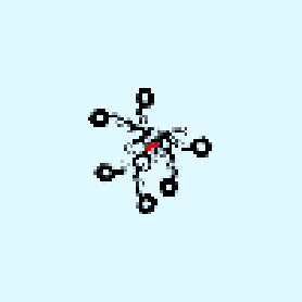 CC(=O)OC1C(OC(C)=O)[C@@H](OCc2ccccc2)C(COCc2ccccc2)O[C@@H]1OC1C(OC(C)=O)[C@@H](OCc2ccccc2)C(COCc2ccccc2)O[C@@H]1O[C@@H]1C(O[Si](C)(C)C(C)(C)C)[C@@H](C)OC(COCc2ccccc2)[C@H]1OCc1ccccc1